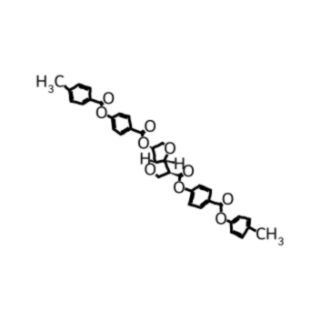 Cc1ccc(OC(=O)c2ccc(OC(=O)[C@H]3CO[C@H]4[C@@H]3OC[C@H]4OC(=O)c3ccc(OC(=O)c4ccc(C)cc4)cc3)cc2)cc1